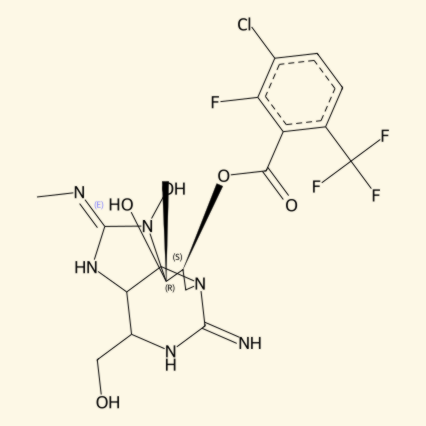 C/N=C1\NC2C(CO)NC(=N)N3C[C@H](OC(=O)c4c(C(F)(F)F)ccc(Cl)c4F)[C@](C)(O)C23N1O